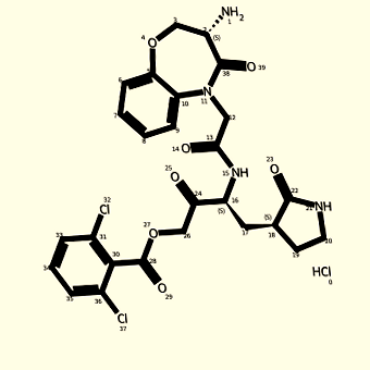 Cl.N[C@H]1COc2ccccc2N(CC(=O)N[C@@H](C[C@@H]2CCNC2=O)C(=O)COC(=O)c2c(Cl)cccc2Cl)C1=O